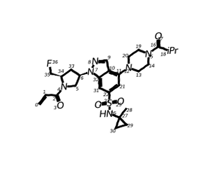 C=CC(=O)N1C[C@H](n2ncc3c(N4CCN(C(=O)C(C)C)CC4)cc(S(=O)(=O)NC4(C)CC4)cc32)C[C@@H]1CF